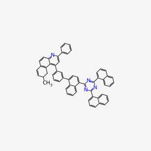 CC1C=Cc2ccc3nc(-c4ccccc4)cc(-c4cccc(-c5ccc(-c6nc(-c7cccc8ccccc78)nc(-c7cccc8ccccc78)n6)c6ccccc56)c4)c3c2C1